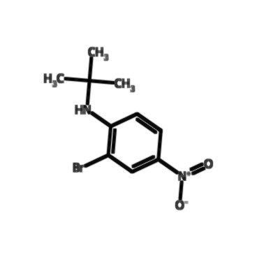 CC(C)(C)Nc1ccc([N+](=O)[O-])cc1Br